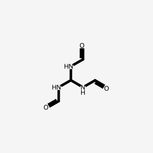 O=CNC(NC=O)NC=O